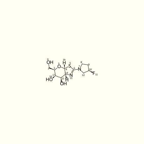 OC[C@H]1O[C@@H]2SC(N3CC[C@@H](F)C3)=N[C@@H]2[C@@H](O)[C@H]1O